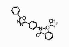 CC(I)Oc1ccccc1C(=O)Nc1ccc(-c2nnc(-c3ccccc3)o2)cc1